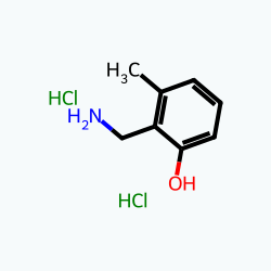 Cc1cccc(O)c1CN.Cl.Cl